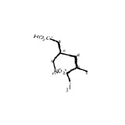 CC(CI)CC(CC(=O)O)C[N+](=O)[O-]